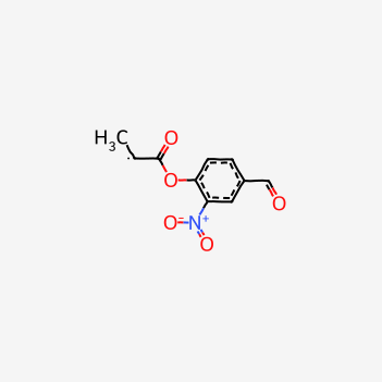 C[CH]C(=O)Oc1ccc(C=O)cc1[N+](=O)[O-]